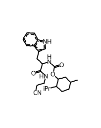 CC1CCC(C(C)C)C(OC(=O)NC(Cc2c[nH]c3ccccc23)C(=O)NCCC#N)C1